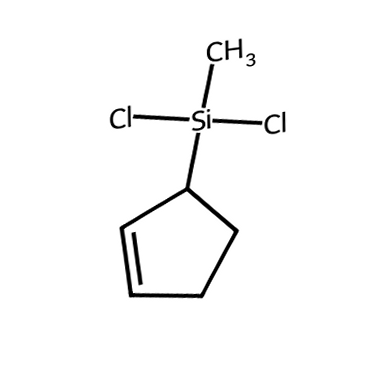 C[Si](Cl)(Cl)C1C=CCC1